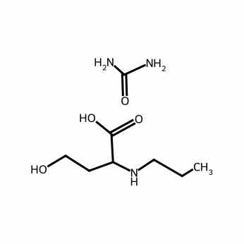 CCCNC(CCO)C(=O)O.NC(N)=O